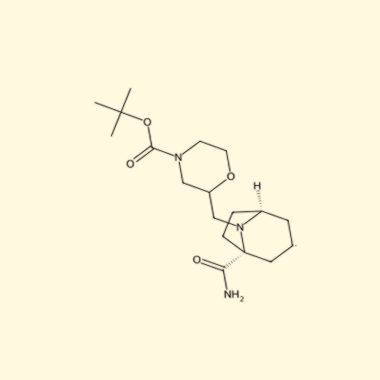 CC(C)(C)OC(=O)N1CCOC(CN2[C@@H]3C[CH]C[C@@]2(C(N)=O)CC3)C1